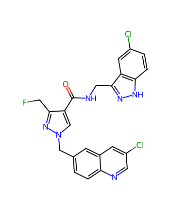 O=C(NCc1n[nH]c2ccc(Cl)cc12)c1cn(Cc2ccc3ncc(Cl)cc3c2)nc1CF